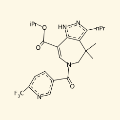 CCCc1n[nH]c2c1C(C)(C)CN(C(=O)c1ccc(C(F)(F)F)nc1)C=C2C(=O)OC(C)C